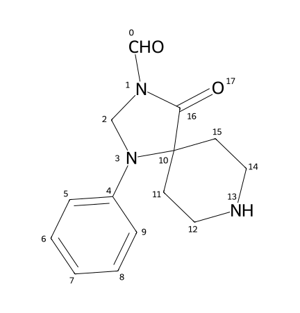 O=CN1CN(c2ccccc2)C2(CCNCC2)C1=O